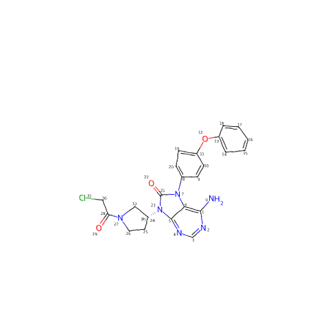 Nc1ncnc2c1n(-c1ccc(Oc3ccccc3)cc1)c(=O)n2[C@@H]1CCN(C(=O)CCl)C1